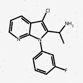 CC(N)c1c(Cl)c2cccnc2n1-c1cccc(F)c1